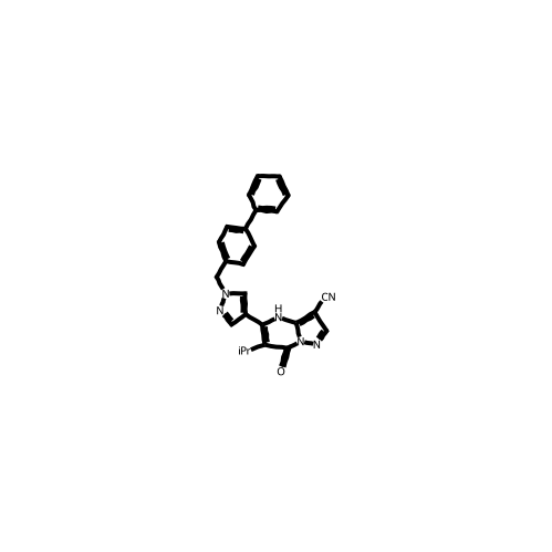 CC(C)c1c(-c2cnn(Cc3ccc(-c4ccccc4)cc3)c2)[nH]c2c(C#N)cnn2c1=O